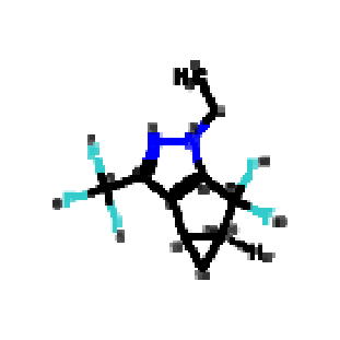 CCn1nc(C(F)(F)F)c2c1C(F)(F)[C@H]1CC21